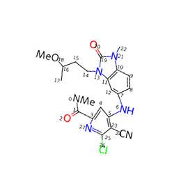 CNC(=O)c1cc(Nc2ccc3c(c2)n(CCC(C)OC)c(=O)n3C)c(C#N)c(Cl)n1